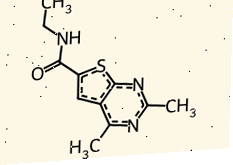 CCNC(=O)c1cc2c(C)nc(C)nc2s1